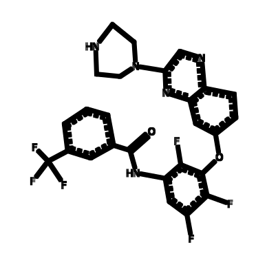 O=C(Nc1cc(F)c(F)c(Oc2ccc3ncc(N4CCNCC4)nc3c2)c1F)c1cccc(C(F)(F)F)c1